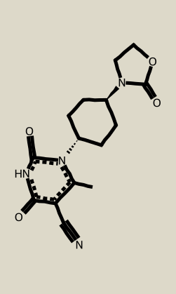 Cc1c(C#N)c(=O)[nH]c(=O)n1[C@H]1CC[C@H](N2CCOC2=O)CC1